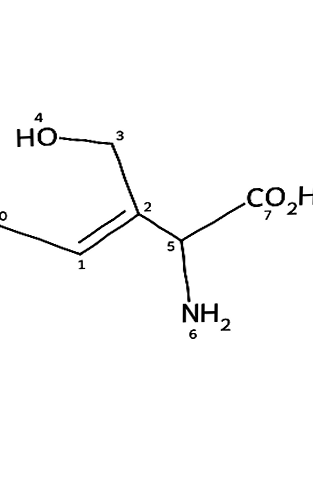 CC=C(CO)C(N)C(=O)O